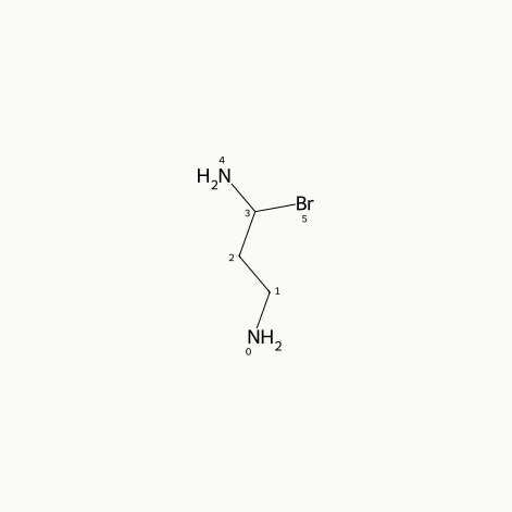 NCCC(N)Br